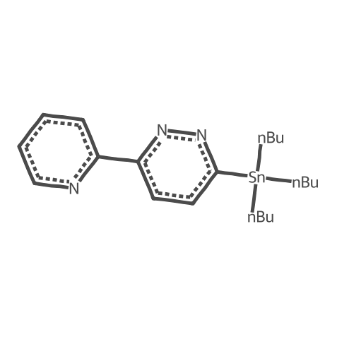 CCC[CH2][Sn]([CH2]CCC)([CH2]CCC)[c]1ccc(-c2ccccn2)nn1